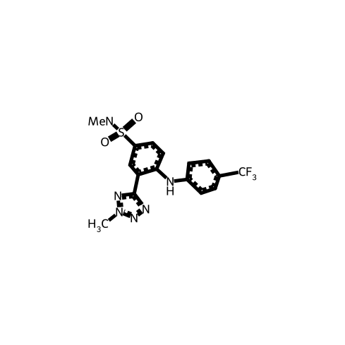 CNS(=O)(=O)c1ccc(Nc2ccc(C(F)(F)F)cc2)c(-c2nnn(C)n2)c1